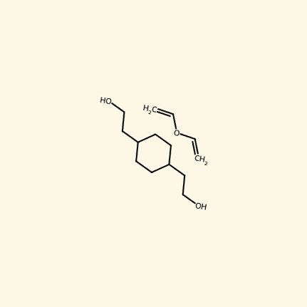 C=COC=C.OCCC1CCC(CCO)CC1